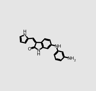 Nc1cccc(Nc2ccc3c(c2)NC(=O)C3=Cc2ccc[nH]2)c1